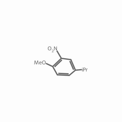 [CH2]C(C)c1ccc(OC)c([N+](=O)[O-])c1